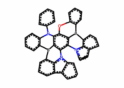 c1ccc(N2c3ccccc3B3c4c2c2c5c(c4-n4c6ccccc6c6cccc3c64)-n3c4ccccc4c4cccc(c43)B5c3ccccc3O2)cc1